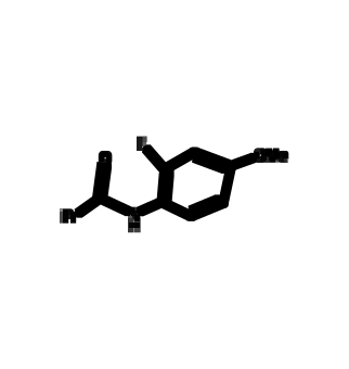 COc1ccc(NC(=O)C(C)C)c(F)c1